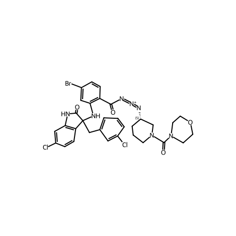 O=C(N=[N+]=N[C@H]1CCCN(C(=O)N2CCOCC2)C1)c1ccc(Br)cc1NC1(Cc2cccc(Cl)c2)C(=O)Nc2cc(Cl)ccc21